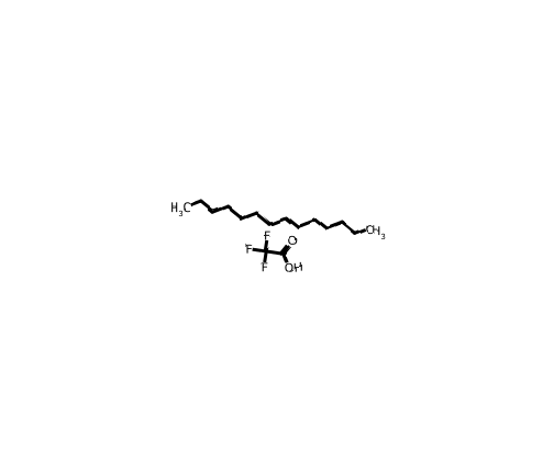 CCCCCCCCCCCCCC.O=C(O)C(F)(F)F